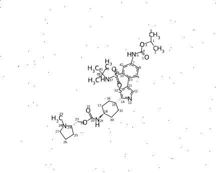 CC(C)OC(=O)Nc1ccc(-c2cnc([C@H]3CC[C@H](NC(=O)OC[C@@H]4CCCN4C)CC3)s2)c(S(=O)(=O)NC(C)(C)C)c1